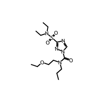 CCCN(CCOCC)C(=O)n1cnc(S(=O)(=O)N(CC)CC)n1